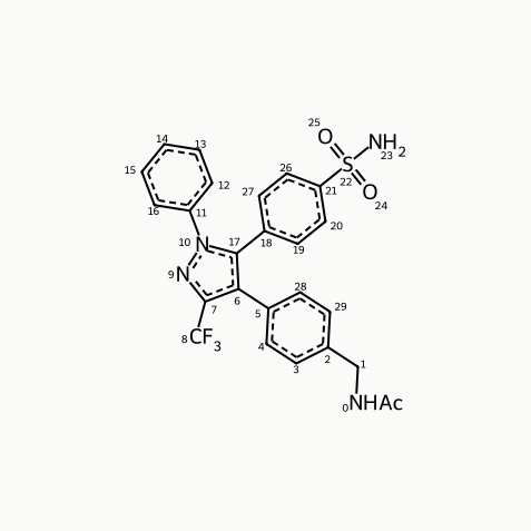 CC(=O)NCc1ccc(-c2c(C(F)(F)F)nn(-c3ccccc3)c2-c2ccc(S(N)(=O)=O)cc2)cc1